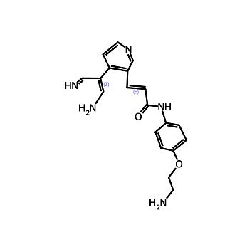 N=C/C(=C\N)c1ccncc1/C=C/C(=O)Nc1ccc(OCCN)cc1